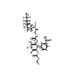 CCOC(=O)OC1=C(C)NC(C)=C(OC(=O)OCCN(C)S(=O)(=O)C(F)(F)C(F)(F)C(F)(F)C(F)(F)F)C1c1cccc([N+](=O)[O-])c1